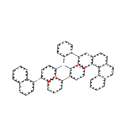 c1ccc(-c2ccccc2N(c2ccc(-c3cccc4ccccc34)cc2)c2ccccc2-c2ccc3c(ccc4ccc5ccccc5c43)c2)cc1